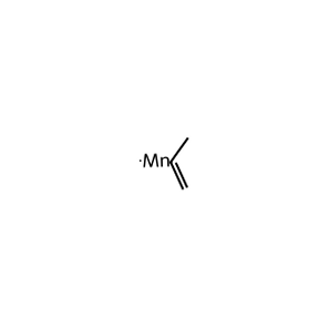 C=CC.[Mn]